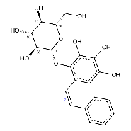 OC[C@@H]1O[C@H](Oc2c(/C=C\c3ccccc3)cc(O)c(O)c2O)[C@@H](O)[C@H](O)[C@H]1O